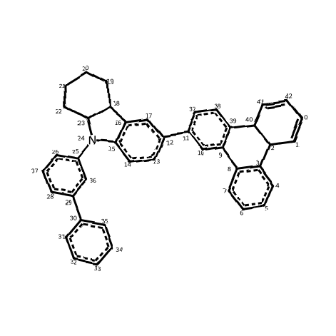 C1=CC2c3ccccc3-c3cc(-c4ccc5c(c4)C4CCCCC4N5c4cccc(-c5ccccc5)c4)ccc3C2C=C1